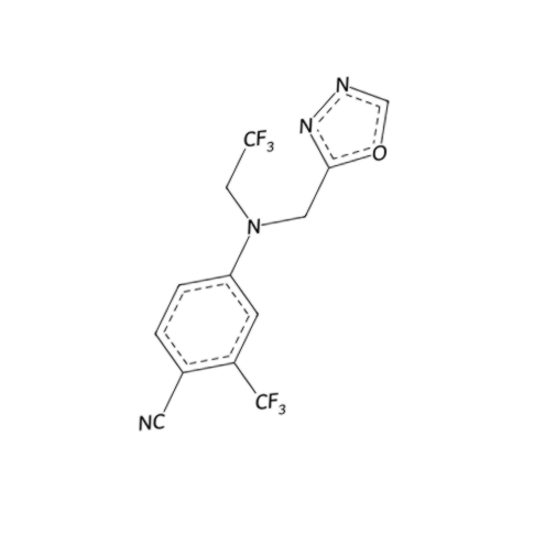 N#Cc1ccc(N(Cc2nnco2)CC(F)(F)F)cc1C(F)(F)F